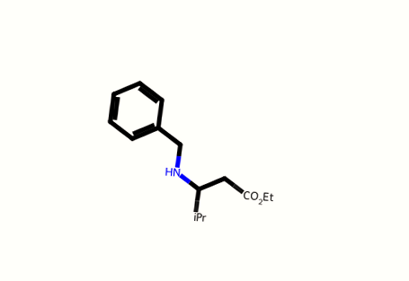 CCOC(=O)CC(NCc1ccccc1)C(C)C